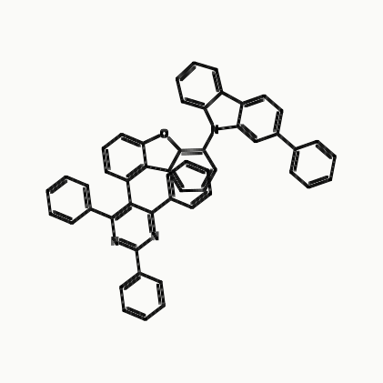 c1ccc(-c2ccc3c4ccccc4n(-c4cccc5c4oc4cccc(-c6c(-c7ccccc7)nc(-c7ccccc7)nc6-c6ccccc6)c45)c3c2)cc1